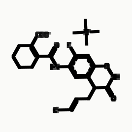 C[N+](C)(C)C.O=C([O-])C1=C(C(=O)Nc2cc3c(cc2F)ONC(=O)C3CC=CCl)CCCC1